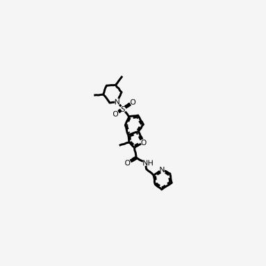 Cc1c(C(=O)NCc2ccccn2)oc2ccc(S(=O)(=O)N3CC(C)CC(C)C3)cc12